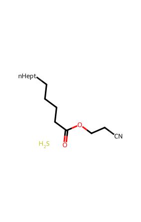 CCCCCCCCCCCC(=O)OCCC#N.S